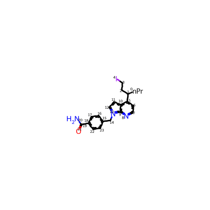 CCCC(CCI)c1ccnc2c1ccn2Cc1ccc(C(N)=O)cc1